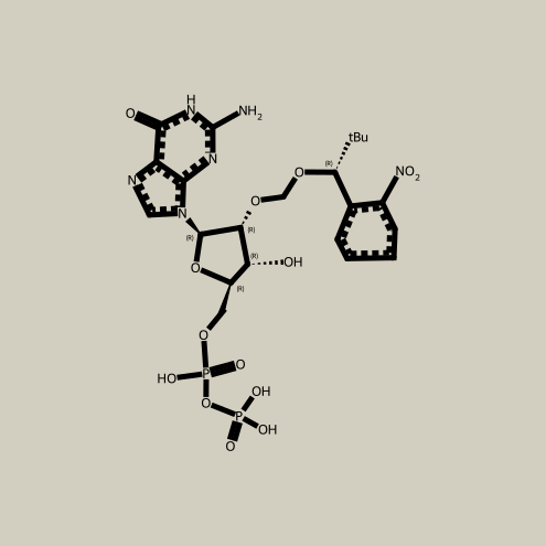 CC(C)(C)[C@@H](OCO[C@@H]1[C@H](O)[C@@H](COP(=O)(O)OP(=O)(O)O)O[C@H]1n1cnc2c(=O)[nH]c(N)nc21)c1ccccc1[N+](=O)[O-]